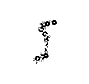 NC(=O)c1c(-c2ccc(Oc3ccccc3)cc2)nn2c1NCC[C@H]2C1CCN(C(=O)c2cn(CCOCCNc3cccc4c3C(=O)N(C3CCC(=O)NC3=O)C4=O)nn2)CC1